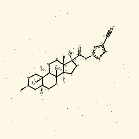 C[C@H]1CC[C@@]2(N)[C@H](CCC3(N)[C@@H]2CC[C@@]2(C)[C@H]3CC[C@]2(O)C(=O)Cn2cc(C#N)cn2)C1